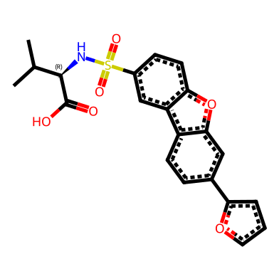 CC(C)[C@@H](NS(=O)(=O)c1ccc2oc3cc(-c4ccco4)ccc3c2c1)C(=O)O